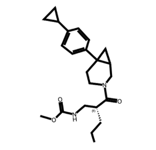 CCC[C@H](CNC(=O)OC)C(=O)N1CCC2(c3ccc(C4CC4)cc3)CC2C1